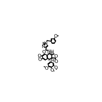 COc1cccc(Cn2cc(C(=O)N[C@@H]3c4cc5c(cc4[C@@H](c4cc(OC)c(OC)c(OC)c4)[C@H]4C(=O)OC[C@@H]43)OCO5)nn2)c1